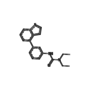 CCN(CC)C(=O)Nc1cccc(-c2cccc3sccc23)c1